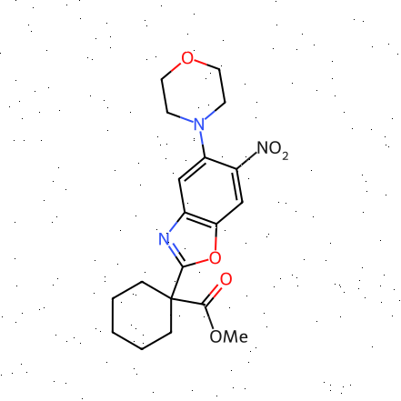 COC(=O)C1(c2nc3cc(N4CCOCC4)c([N+](=O)[O-])cc3o2)CCCCC1